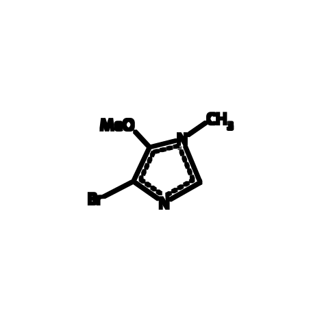 COc1c(Br)ncn1C